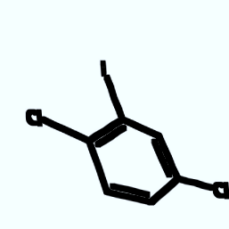 Clc1ccc(Cl)c(I)c1